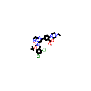 CCN1CCN(c2ccc(-c3cc(N(Cc4ccc(Cl)cc4Cl)C(=O)OC(C)(C)C)n4nccc4n3)cc2C(=O)OC)CC1